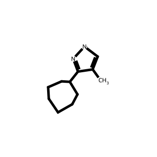 CC1=C[N]N=C1C1CCCCCC1